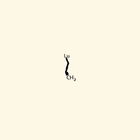 C=C[CH2][Lu]